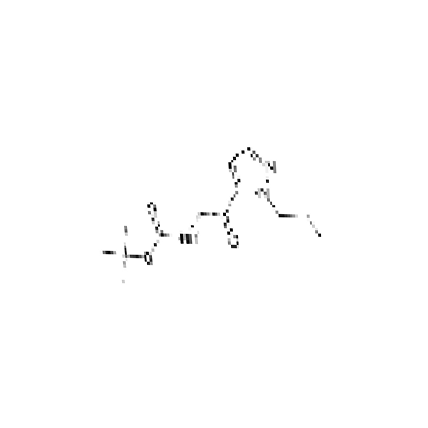 CCCn1nccc1C(=O)CNC(=O)OC(C)(C)C